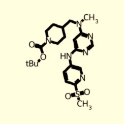 CN(CC1CCN(C(=O)OC(C)(C)C)CC1)c1cc(Nc2ccc(S(C)(=O)=O)nc2)ncn1